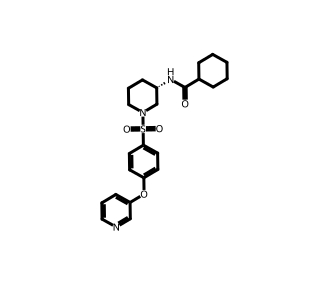 O=C(N[C@H]1CCCN(S(=O)(=O)c2ccc(Oc3cccnc3)cc2)C1)C1CCCCC1